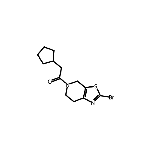 O=C(CC1CCCC1)N1CCc2nc(Br)sc2C1